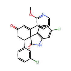 COc1ncccc1C1=CC(=O)C[C@@H](c2cccc(Cl)c2)[C@]12C(=O)Nc1cc(Cl)ccc12